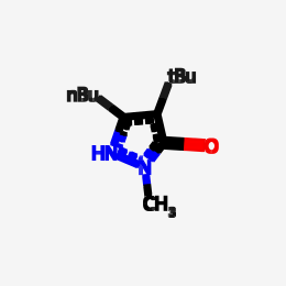 CCCCc1[nH]n(C)c(=O)c1C(C)(C)C